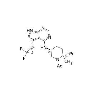 CC(=O)N1C[C@@H](Nc2ncnc3[nH]cc([C@@H]4CC4(F)F)c23)CC[C@]1(C)C(C)C